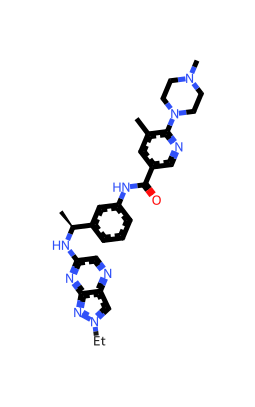 CCn1cc2ncc(N[C@@H](C)c3cccc(NC(=O)c4cnc(N5CCN(C)CC5)c(C)c4)c3)nc2n1